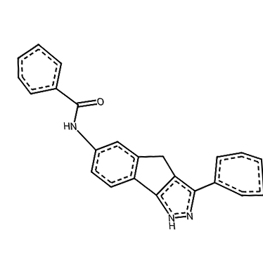 O=C(Nc1ccc2c(c1)Cc1c(-c3ccccc3)n[nH]c1-2)c1ccccc1